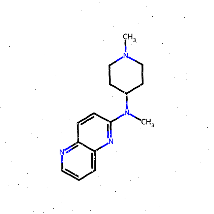 CN1CCC(N(C)c2ccc3ncccc3n2)CC1